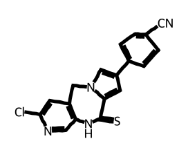 N#Cc1ccc(-c2cc3n(c2)Cc2cc(Cl)ncc2NC3=S)cc1